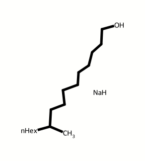 CCCCCCC(C)CCCCCCCCCO.[NaH]